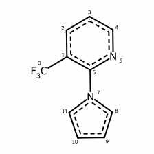 FC(F)(F)c1c[c]cnc1-n1cccc1